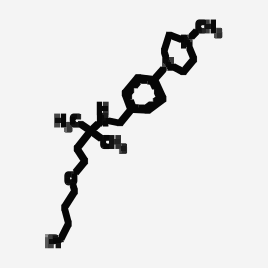 CC(C)CCCOCCC(C)(C)NCc1ccc(N2CCN(C)CC2)cc1